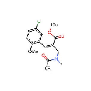 COc1ccc(Cl)cc1C=C(CN(C)C(=O)C(F)(F)F)C(=O)OC(C)(C)C